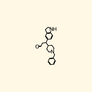 O=CCC(c1ccc2c(c1)CCN2)C1CCN(Cc2ccccc2)CC1